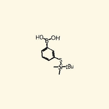 CC(C)(C)[Si](C)(C)Sc1cccc(B(O)O)c1